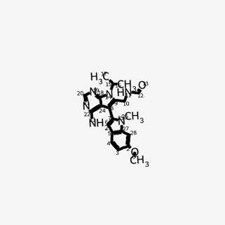 COc1ccc2cc(-c3c(CNC=O)n(C(C)C)c4ncnc(N)c34)n(C)c2c1